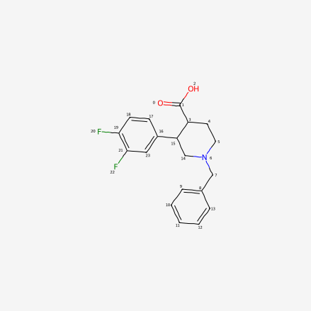 O=C(O)C1CCN(Cc2ccccc2)CC1c1ccc(F)c(F)c1